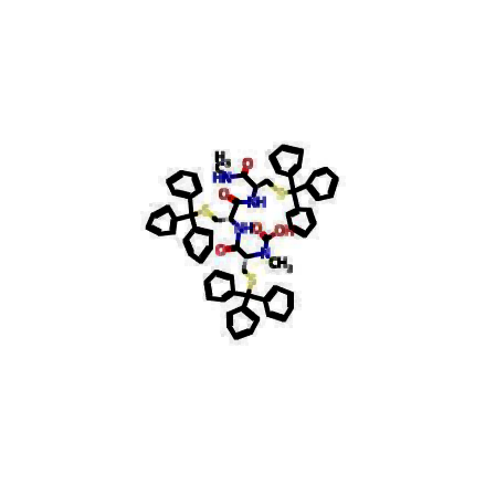 CNC(=O)[C@@H](CSC(c1ccccc1)(c1ccccc1)c1ccccc1)NC(=O)[C@@H](CSC(c1ccccc1)(c1ccccc1)c1ccccc1)NC(=O)[C@@H](CSC(c1ccccc1)(c1ccccc1)c1ccccc1)N(C)C(=O)O